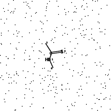 CBC(C)=S